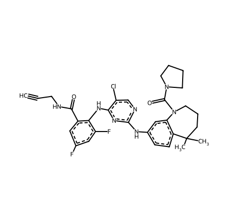 C#CCNC(=O)c1cc(F)cc(F)c1Nc1nc(Nc2ccc3c(c2)N(C(=O)N2CCCC2)CCCC3(C)C)ncc1Cl